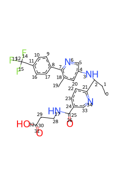 CCC(Nc1cnc(-c2ccc(C(F)(F)F)cc2)c(C)c1)c1ccc(C(=O)NCCC(=O)O)cn1